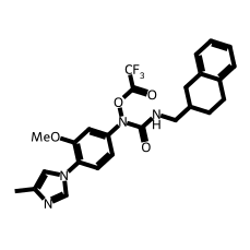 COc1cc(N(OC(=O)C(F)(F)F)C(=O)NCC2CCc3ccccc3C2)ccc1-n1cnc(C)c1